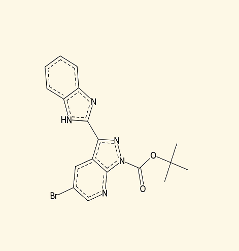 CC(C)(C)OC(=O)n1nc(-c2nc3ccccc3[nH]2)c2cc(Br)cnc21